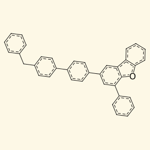 c1ccc(Cc2ccc(-c3ccc(-c4cc(-c5ccccc5)c5oc6ccccc6c5c4)cc3)cc2)cc1